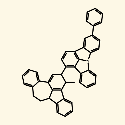 CC1C2=C3C(=CC1c1ccc4c5cc(-c6ccccc6)ccc5n5c6ccccc6c1c45)c1ccccc1CCC3c1ccccc12